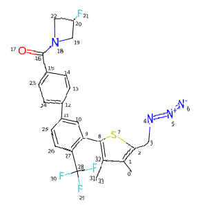 Cc1c(CN=[N+]=[N-])sc(-c2cc(-c3ccc(C(=O)N4CC(F)C4)cc3)ccc2C(F)(F)F)c1C